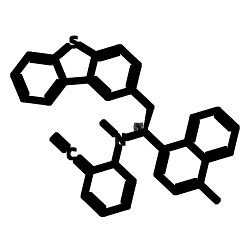 C=C=C1C=CC=CC1N(C)[C@@H](Cc1ccc2sc3ccccc3c2c1)c1ccc(C)c2ccccc12